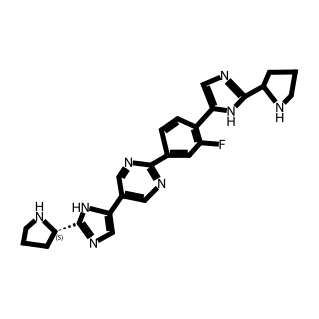 Fc1cc(-c2ncc(-c3cnc([C@@H]4CCCN4)[nH]3)cn2)ccc1-c1cnc(C2CCCN2)[nH]1